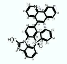 Cc1nc2cccc3c2n1-c1ccc(-c2cc4ccccc4c4ncccc24)cc1P3(=O)c1ccccc1